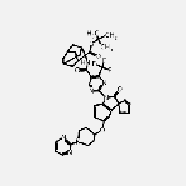 CC(C)(C)OC(=O)C1(NC(=O)c2cnc(N3C(=O)C4(C=CCC4)c4cc(OC5CCN(c6ncccn6)CC5)ccc43)nc2C(F)(F)F)C2CC3CC(C2)CC1C3